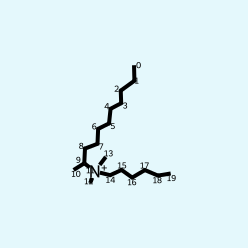 CCCCCCCCCC(C)[N+](C)(C)CCCCCC